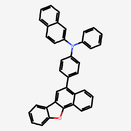 c1ccc(N(c2ccc(-c3cc4c5ccccc5oc4c4ccccc34)cc2)c2ccc3ccccc3c2)cc1